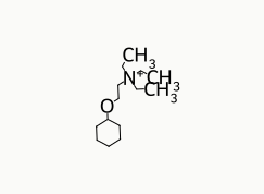 CC[N+](CC)(CC)CCOC1CCCCC1